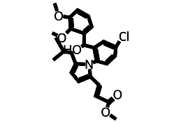 COC(=O)C=Cc1ccc(CC(C)C)n1-c1ccc(Cl)cc1C(O)c1cccc(OC)c1OC